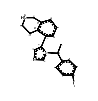 CC(c1ccc(F)cc1)n1cncc1-c1cccc2c1CCNC2